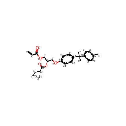 C=CC(=O)OCC(COc1ccc(C(C)(C)c2ccc(C)cc2)cc1)OC(=O)CCC(=O)O